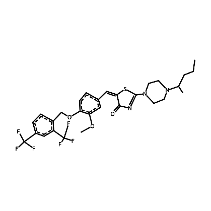 CCCC(C)N1CCN(C2=NC(=O)/C(=C\c3ccc(OCc4ccc(C(F)(F)F)cc4C(F)(F)F)c(OC)c3)S2)CC1